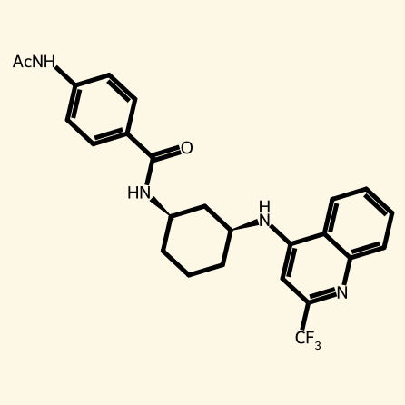 CC(=O)Nc1ccc(C(=O)N[C@@H]2CCC[C@H](Nc3cc(C(F)(F)F)nc4ccccc34)C2)cc1